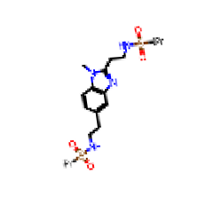 CC(C)S(=O)(=O)NCCc1ccc2c(c1)nc(CCNS(=O)(=O)C(C)C)n2C